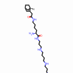 NCCCNCCCCNCCCNC(=O)[C@@H](N)CCCCNC(=O)CC1CC2CC[C@H]1C2